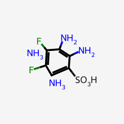 N.N.Nc1c(S(=O)(=O)O)cc(F)c(F)c1N